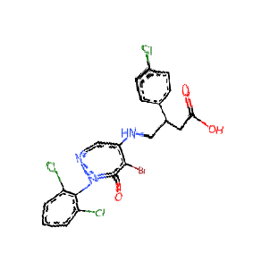 O=C(O)CC(CNc1cnn(-c2c(Cl)cccc2Cl)c(=O)c1Br)c1ccc(Cl)cc1